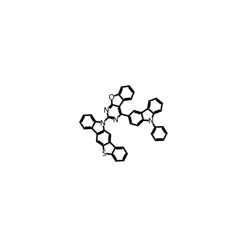 c1ccc(-n2c3ccccc3c3cc(-c4nc(-n5c6ccccc6c6cc7sc8ccccc8c7cc65)nc5oc6ccccc6c45)ccc32)cc1